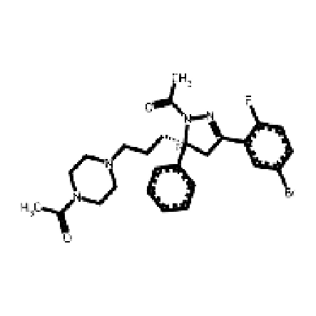 CC(=O)N1CCN(CCC[C@@]2(c3ccccc3)CC(c3cc(Br)ccc3F)=NN2C(C)=O)CC1